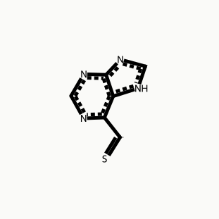 S=[C]c1ncnc2nc[nH]c12